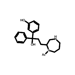 CC(=O)N1CCCNCC1CCC(O)(c1ccccc1)c1cccc(O)c1